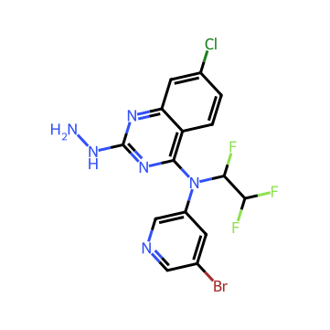 NNc1nc(N(c2cncc(Br)c2)C(F)C(F)F)c2ccc(Cl)cc2n1